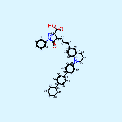 O=C(O)C1=NN(c2ccccc2)C(=O)/C1=C\C=C\c1ccc2c(c1)CCCN2c1ccc(-c2ccc(C3CCCCC3)cc2)cc1